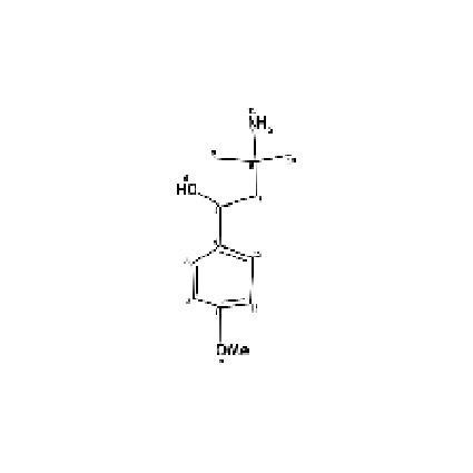 COc1ccc(C(O)CC(C)(C)N)cc1